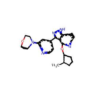 CC1CCCC1Oc1nccc2[nH]nc(-c3ccnc(N4CCOCC4)c3)c12